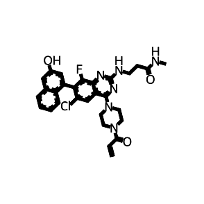 C=CC(=O)N1CCN(c2nc(NCCC(=O)NC)nc3c(F)c(-c4cc(O)cc5ccccc45)c(Cl)cc23)CC1